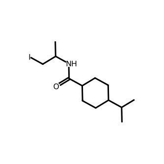 CC(CI)NC(=O)C1CCC(C(C)C)CC1